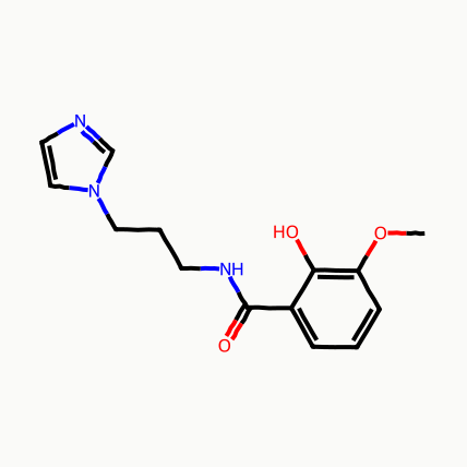 COc1cccc(C(=O)NCCCn2ccnc2)c1O